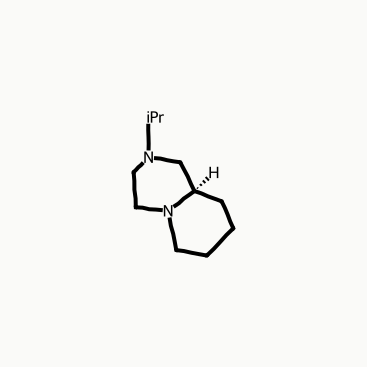 CC(C)N1CCN2CCCC[C@@H]2C1